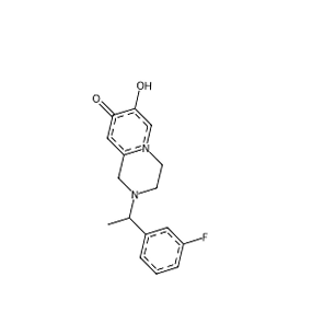 CC(c1cccc(F)c1)N1CCn2cc(O)c(=O)cc2C1